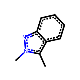 Cc1c2cc[c]cc2nn1C